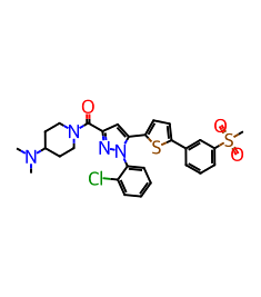 CN(C)C1CCN(C(=O)c2cc(-c3ccc(-c4cccc(S(C)(=O)=O)c4)s3)n(-c3ccccc3Cl)n2)CC1